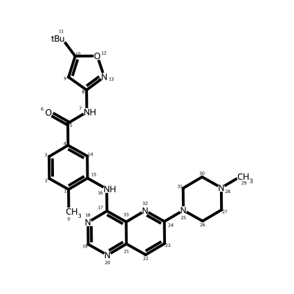 Cc1ccc(C(=O)Nc2cc(C(C)(C)C)on2)cc1Nc1ncnc2ccc(N3CCN(C)CC3)nc12